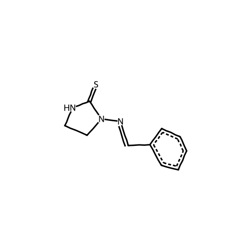 S=C1NCCN1/N=C/c1ccccc1